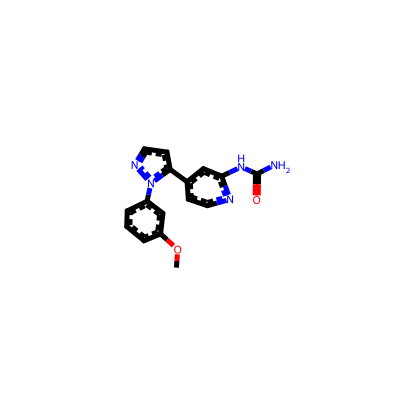 COc1cccc(-n2nccc2-c2ccnc(NC(N)=O)c2)c1